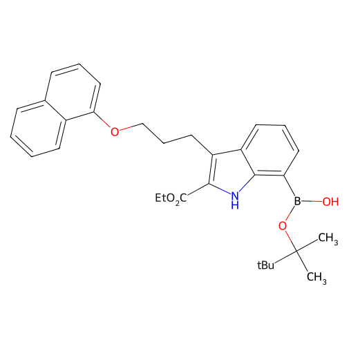 CCOC(=O)c1[nH]c2c(B(O)OC(C)(C)C(C)(C)C)cccc2c1CCCOc1cccc2ccccc12